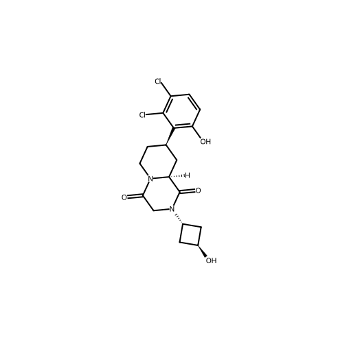 O=C1CN([C@H]2C[C@H](O)C2)C(=O)[C@@H]2C[C@H](c3c(O)ccc(Cl)c3Cl)CCN12